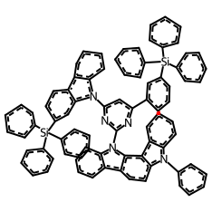 c1ccc(-n2c3ccccc3c3c2ccc2c4ccccc4n(-c4nc(-c5cccc([Si](c6ccccc6)(c6ccccc6)c6ccccc6)c5)cc(-n5c6ccccc6c6ccc([Si](c7ccccc7)(c7ccccc7)c7ccccc7)cc65)n4)c23)cc1